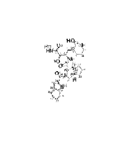 CC(C)NC(=O)C(=O)C(C[C@@H]1CCCNC1O)NC(=O)[C@@H]1[C@H]2CCC[C@H]2CN1C(=O)c1cc2ccccc2[nH]1